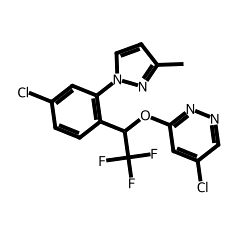 Cc1ccn(-c2cc(Cl)ccc2C(Oc2cc(Cl)cnn2)C(F)(F)F)n1